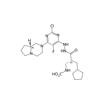 O=C(O)NC[C@@H](CC1CCCC1)C(=O)NNc1nc(Cl)nc(N2CCN3CCC[C@@H]3C2)c1F